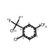 FC(F)(F)c1ccc(Cl)c(C(F)(F)Cl)c1